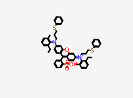 CCc1cccc(C)c1N(CCCSc1ccccc1)c1ccc2c(-c3ccccc3S(=O)(=O)O)c3cc/c(=[N+](/CCCSc4ccccc4)c4c(C)cccc4CC)cc-3oc2c1